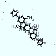 Cc1cc(-c2nccs2)cc2c1-c1cc3c(cc1C2(C)C)-c1ccc(-c2nccs2)cc1C3(C)C